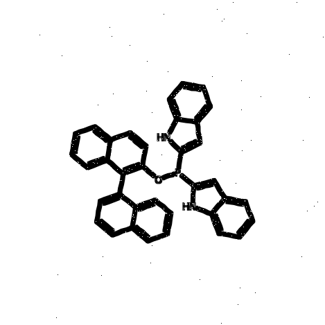 c1ccc2[nH]c(P(Oc3ccc4ccccc4c3-c3cccc4ccccc34)c3cc4ccccc4[nH]3)cc2c1